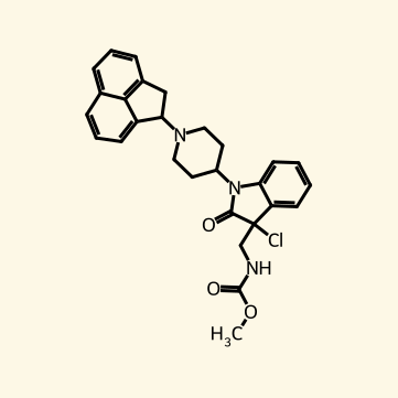 COC(=O)NCC1(Cl)C(=O)N(C2CCN(C3Cc4cccc5cccc3c45)CC2)c2ccccc21